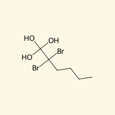 CCCCC(Br)(Br)C(O)(O)O